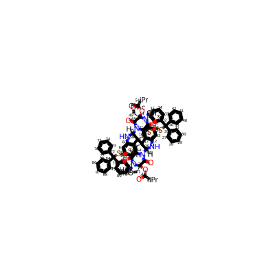 CC(=O)OC[C@@]1(OC(=O)C(C)C)C(=O)N2[C@H]3Nc4ccccc4[C@@]3([C@]34C[C@]5(SSSC(c6ccccc6)(c6ccccc6)c6ccccc6)C(=O)N(C)[C@](COC(C)=O)(OC(=O)C(C)C)C(=O)N5[C@H]3Nc3ccccc34)C[C@]2(SSSC(c2ccccc2)(c2ccccc2)c2ccccc2)C(=O)N1C